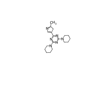 CC1=NC=C(c2nc(N3CCCCC3)nc(N3CCCCC3)n2)C1